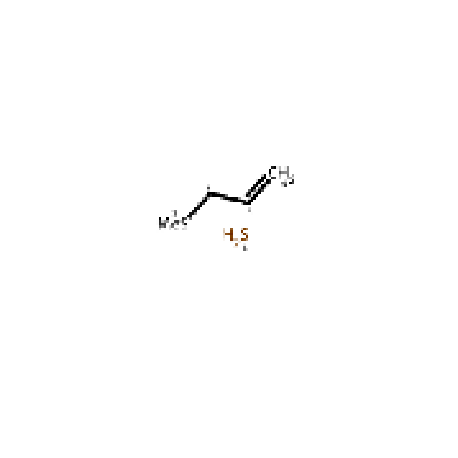 C=CCSC.S